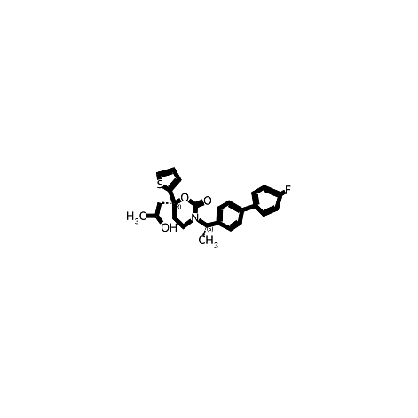 CC(O)C[C@@]1(c2cccs2)CCN([C@@H](C)c2ccc(-c3ccc(F)cc3)cc2)C(=O)O1